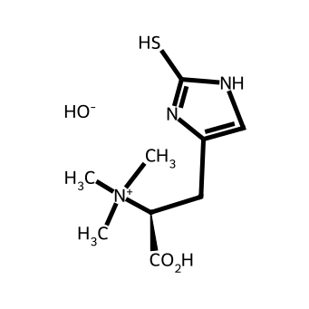 C[N+](C)(C)[C@@H](Cc1c[nH]c(S)n1)C(=O)O.[OH-]